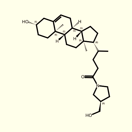 CC(CCC(=O)N1CC[C@@H](CO)C1)[C@H]1CC[C@H]2[C@@H]3CC=C4C[C@@H](O)CC[C@]4(C)[C@H]3CC[C@]12C